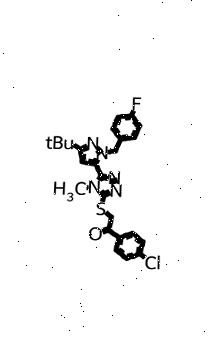 Cn1c(SCC(=O)c2ccc(Cl)cc2)nnc1-c1cc(C(C)(C)C)nn1Cc1ccc(F)cc1